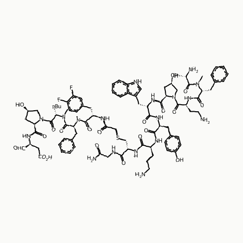 CCCC[C@@H](C(=O)N1C[C@H](O)C[C@@H]1C(=O)N[C@H](C=O)CC(=O)O)N(C)C(=O)[C@H](Cc1ccccc1)N(C)C(=O)[C@H](Cc1ccc(F)c(F)c1)NC(=O)CSC[C@H](NC(=O)[C@H](CCCN)NC(=O)[C@H](Cc1ccc(O)cc1)NC(=O)[C@H](Cc1c[nH]c2ccccc12)NC(=O)[C@H]1C[C@@H](O)CN1C(=O)[C@H](CCN)NC(=O)[C@@H](Cc1ccccc1)N(C)C(=O)[C@@H](N)C(C)C)C(=O)NCC(N)=O